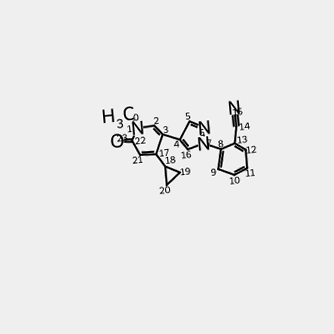 Cn1cc(-c2cnn(-c3ccccc3C#N)c2)c(C2CC2)cc1=O